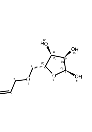 C=CCOC[C@H]1O[C@H](O)[C@H](O)[C@@H]1O